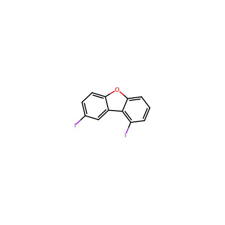 Ic1ccc2oc3cccc(I)c3c2c1